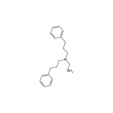 [SiH3]CN(CCCc1ccccc1)CCCc1ccccc1